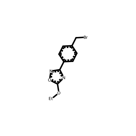 CCOc1nc(-c2ccc(CBr)cc2)no1